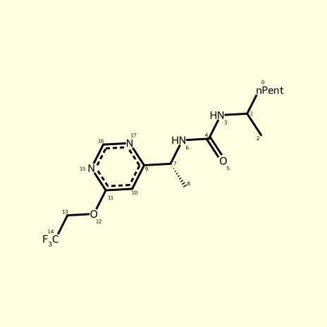 CCCCCC(C)NC(=O)N[C@H](C)c1cc(OCC(F)(F)F)ncn1